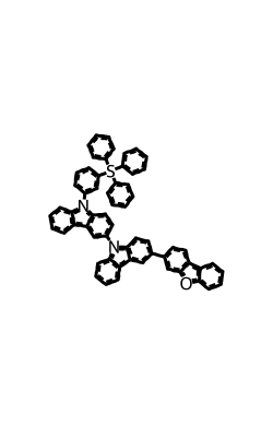 c1ccc(S(c2ccccc2)(c2ccccc2)c2cccc(-n3c4ccccc4c4cc(-n5c6ccccc6c6cc(-c7ccc8c(c7)oc7ccccc78)ccc65)ccc43)c2)cc1